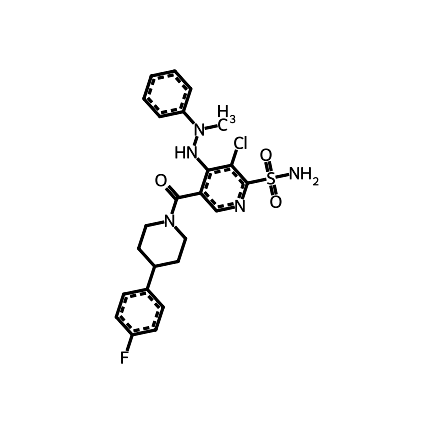 CN(Nc1c(C(=O)N2CCC(c3ccc(F)cc3)CC2)cnc(S(N)(=O)=O)c1Cl)c1ccccc1